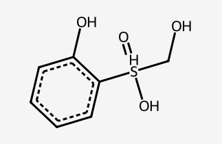 O=[SH](O)(CO)c1ccccc1O